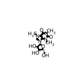 Cn1c(=O)c2c(n([C@@H]3O[C@H](CO)[C@@H](O)[C@H]3O)c[n+]2C)n(C)c1=O